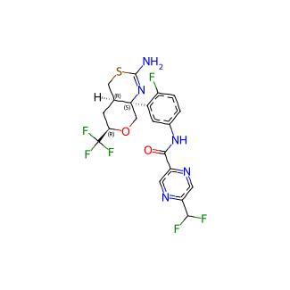 NC1=N[C@@]2(c3cc(NC(=O)c4cnc(C(F)F)cn4)ccc3F)CO[C@@H](C(F)(F)F)C[C@H]2CS1